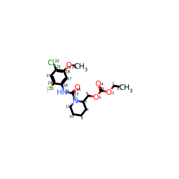 CCOC(=O)OCC1CCCCN1C(=O)Nc1cc(OC)c(Cl)cc1F